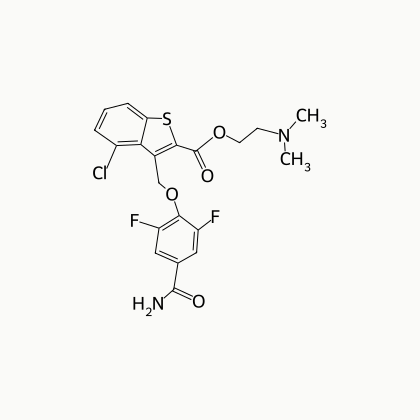 CN(C)CCOC(=O)c1sc2cccc(Cl)c2c1COc1c(F)cc(C(N)=O)cc1F